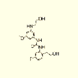 COc1cc(NCCO)cc(NC(=O)Nc2cc(F)ccc2CCO)c1